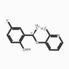 COc1ccc(F)cc1[C@@H](C)Oc1cccnc1C